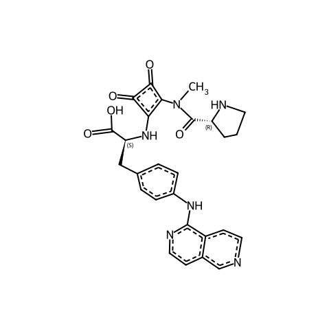 CN(C(=O)[C@H]1CCCN1)c1c(N[C@@H](Cc2ccc(Nc3nccc4cnccc34)cc2)C(=O)O)c(=O)c1=O